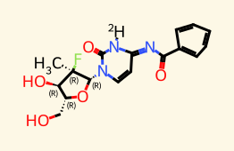 [2H]n1c(=NC(=O)c2ccccc2)ccn([C@@H]2O[C@H](CO)[C@@H](O)[C@@]2(C)F)c1=O